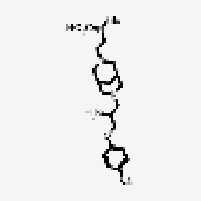 CC(C)(C)N(CCN1CC2CC(C1)CN(CC(N)COc1ccc(C#N)cc1)C2)C(=O)O